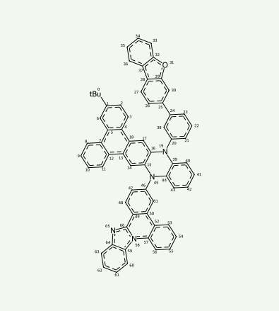 CC(C)(C)c1ccc2c(c1)c1ccccc1c1cc3c(cc21)N(c1cccc(-c2ccc4c(c2)oc2ccccc24)c1)c1ccccc1N3c1ccc2c(c1)c1ccccc1n1c3ccccc3nc21